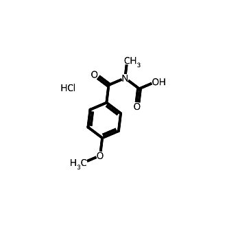 COc1ccc(C(=O)N(C)C(=O)O)cc1.Cl